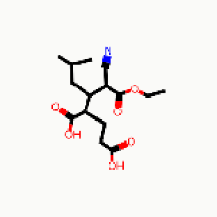 CCOC(=O)C(C#N)C(CC(C)C)C(CCC(=O)O)C(=O)O